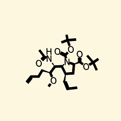 C=CCC[C@H](OC)[C@H](NC(C)=O)[C@H]1[C@H](/C=C\C)C[C@H](C(=O)OC(C)(C)C)N1C(=O)OC(C)(C)C